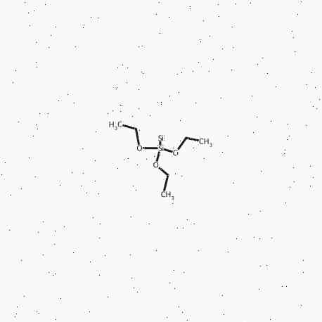 CCO[Si]([Si])(OCC)OCC